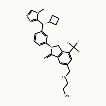 Cn1cnnc1[C@@H](c1cccc(N2Cc3c(cc(CNCCO)cc3C(F)(F)F)C2=O)c1)C1CCC1